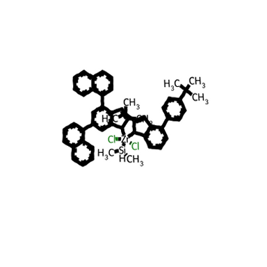 CC1=Cc2c(-c3cccc4ccccc34)cc(-c3cccc4ccccc34)cc2[CH]1[Zr]([Cl])([Cl])([CH]1C(C(C)C)=Cc2c(-c3ccc(C(C)(C)C)cc3)cccc21)[SiH](C)C